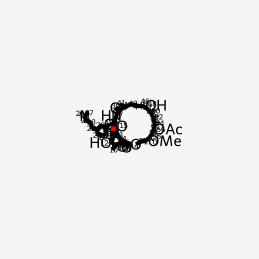 CO[C@H]1/C=C/O[C@@]2(C)Oc3c(C)c(O)c4c(=O)c(c5oc6cc(CCCN(C)C)ccc6nc-5c4c3C2=O)NC(=O)/C(C)=C\C=C\[C@H](C)[C@H](O)[C@@H](C)[C@@H](C)[C@@H](C)[C@H](OC(C)=O)[C@@H]1C